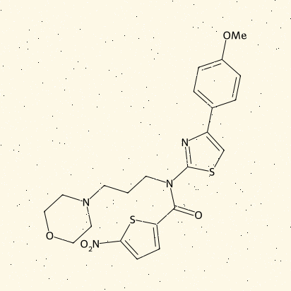 COc1ccc(-c2csc(N(CCCN3CCOCC3)C(=O)c3ccc([N+](=O)[O-])s3)n2)cc1